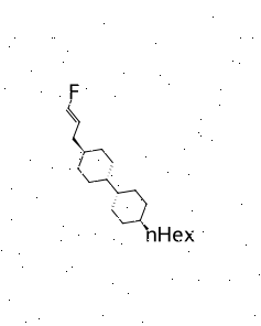 CCCCCC[C@H]1CC[C@H]([C@H]2CC[C@H](C/C=C/F)CC2)CC1